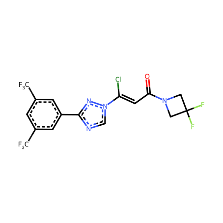 O=C(/C=C(\Cl)n1cnc(-c2cc(C(F)(F)F)cc(C(F)(F)F)c2)n1)N1CC(F)(F)C1